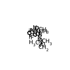 C=CC(=O)N1[C@H](C)CN(C2=NC(O)N([C@H]3C(C)=CC=N[C@H]3C(C)C)c3nc(-c4c(N)cccc4F)c(F)cc32)C[C@@H]1C